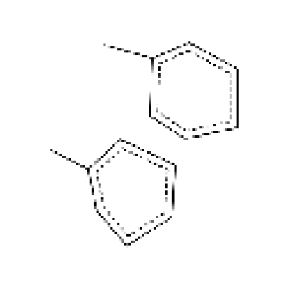 Cc1ccccc1.Cc1ccccc1